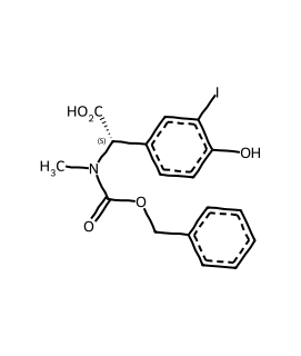 CN(C(=O)OCc1ccccc1)[C@H](C(=O)O)c1ccc(O)c(I)c1